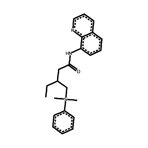 CCC(CC(=O)Nc1cccc2cccnc12)C[Si](C)(C)c1ccccc1